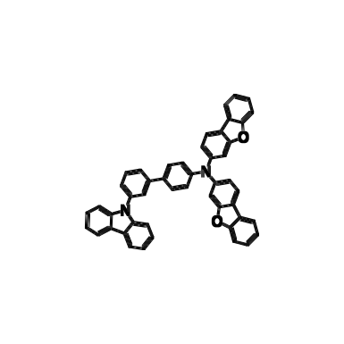 c1cc(-c2ccc(N(c3ccc4c(c3)oc3ccccc34)c3ccc4c(c3)oc3ccccc34)cc2)cc(-n2c3ccccc3c3ccccc32)c1